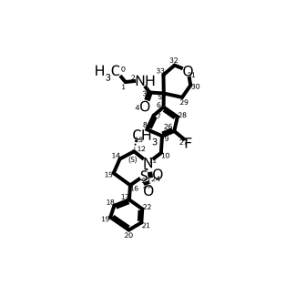 CCNC(=O)C1(c2ccc(CN3[C@@H](C)CCC(c4ccccc4)S3(=O)=O)c(F)c2)CCOCC1